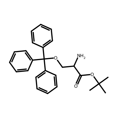 CC(C)(C)OC(=O)C(N)COC(c1ccccc1)(c1ccccc1)c1ccccc1